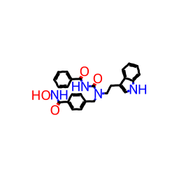 O=C(NO)c1ccc(CN(CCc2c[nH]c3ccccc23)C(=O)NC(=O)c2ccccc2)cc1